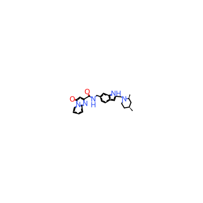 C[C@H]1CCN(Cc2cc3ccc(CNC(=O)c4cc(=O)n5ccccc5n4)cc3[nH]2)[C@@H](C)C1